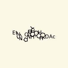 C=C(C)[C@@H]1CC[C@]2(C(=O)N[C@@H]3CC[C@H](CN4CCN(CC)CC4)C3)CC[C@]3(C)[C@H](CC[C@@H]4[C@@]5(C)CC[C@H](OC(C)=O)C(C)(C)[C@@H]5CC[C@]43C)[C@@H]12